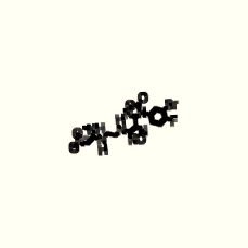 CNC(=C[N+](=O)[O-])NCCNc1nonc1-c1noc(=O)n1-c1ccc(F)c(Br)c1